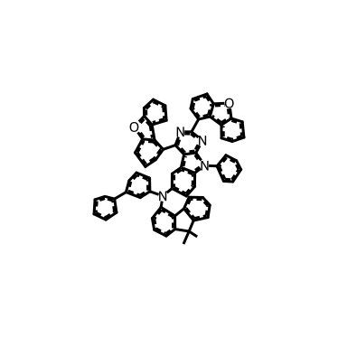 CC1(C)c2ccccc2-c2c(N(c3cccc(-c4ccccc4)c3)c3ccc4c(c3)c3c(-c5cccc6oc7ccccc7c56)nc(-c5cccc6oc7ccccc7c56)nc3n4-c3ccccc3)cccc21